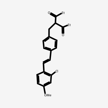 CCC(=O)C(Cc1ccc(/C=C/c2ccc(OC)cc2Cl)cc1)C(=O)CC